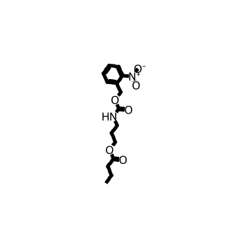 CCCC(=O)OCCCNC(=O)OCc1ccccc1[N+](=O)[O-]